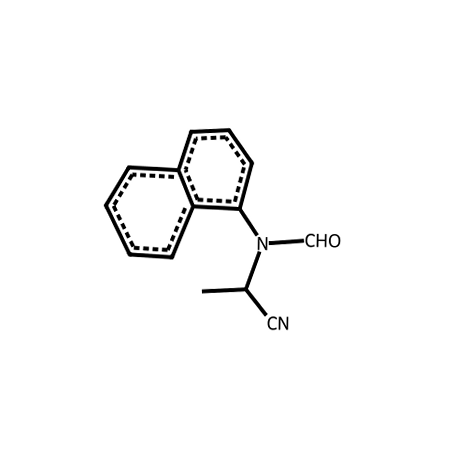 CC(C#N)N(C=O)c1cccc2ccccc12